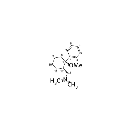 CO[C@]1(c2ccccc2)CCCC[C@@H]1CN(C)C